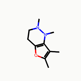 Cc1oc2c(c1C)N(C)N(C)CC2